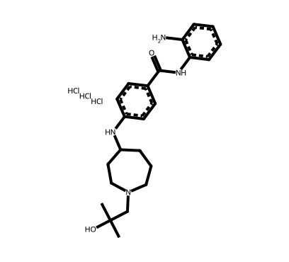 CC(C)(O)CN1CCCC(Nc2ccc(C(=O)Nc3ccccc3N)cc2)CC1.Cl.Cl.Cl